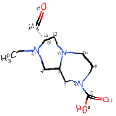 CN1CC2CN(C(=O)O)CCN2C[C@H]1C=O